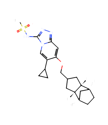 CS(=O)(=O)Nc1nnc2cc(OCC3C[C@@H]4[C@H]5CC[C@H](C5)[C@@H]4C3)c(C3CC3)cn12